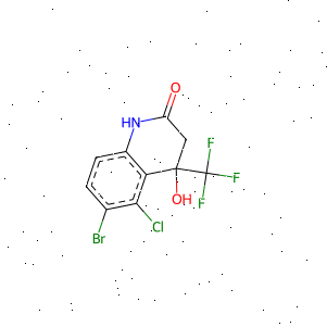 O=C1CC(O)(C(F)(F)F)c2c(ccc(Br)c2Cl)N1